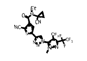 CCN(C(=O)c1cc(-c2cn(-c3c(C(F)(F)F)c(C(F)(F)C(F)(F)F)nn3C)nn2)sc1C#N)C1(C#N)CC1